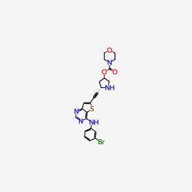 O=C(O[C@H]1CN[C@H](C#Cc2cc3ncnc(Nc4cccc(Br)c4)c3s2)C1)N1CCOCC1